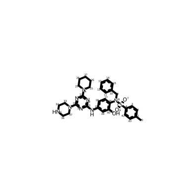 Cc1ccc(S(=O)(=O)N(Cc2ccccc2)c2ccc(Nc3nc(N4CCCCC4)nc(N4CCNCC4)n3)cc2O)cc1